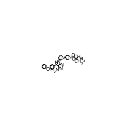 CC(C)(C)OC(=O)N1CCC(N2CCC[C@@H](n3nc(-c4ccc(Oc5ccccc5)cc4)c4c(N)ncnc43)C2)CC1